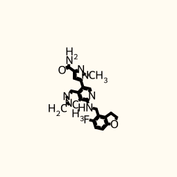 C=N/N=C\c1c(-c2cc(C(N)=O)nn2C)cnc(NCc2c(F)ccc3c2CCO3)c1C